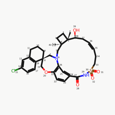 C[C@]12CC[C@@H]1CN1C[C@@]3(CCCc4cc(Cl)ccc43)COc3ccc(cc31)C(=O)NS(=O)(=O)CC/C=C\C[C@@H]2O